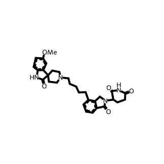 COc1ccc2c(c1)C1(CCN(CCCCCc3cccc4c3CN(C3CCC(=O)NC3=O)C4=O)CC1)C(=O)N2